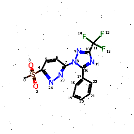 CS(=O)(=O)c1ccc(-n2nc(C(F)(F)F)nc2-c2ccccc2)nn1